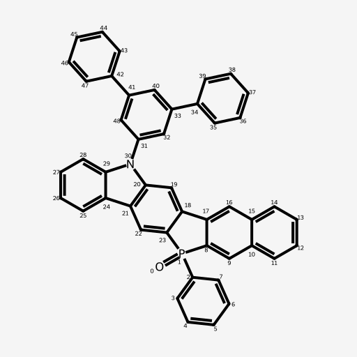 O=P1(c2ccccc2)c2cc3ccccc3cc2-c2cc3c(cc21)c1ccccc1n3-c1cc(-c2ccccc2)cc(-c2ccccc2)c1